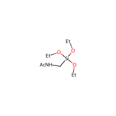 CCO[Si](CNC(C)=O)(OCC)OCC